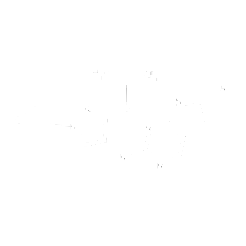 CC(Oc1nn(C2COC2)cc1Nc1ncc2c(n1)N=C(C#N)C2)C(F)(F)F